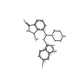 O=C1NC(O)c2c1cccc2C(Cc1n[nH]c2cc(F)ccc12)N1CCNCC1